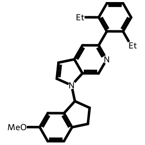 CCc1cccc(CC)c1-c1cc2ccn(C3CCc4ccc(OC)cc43)c2cn1